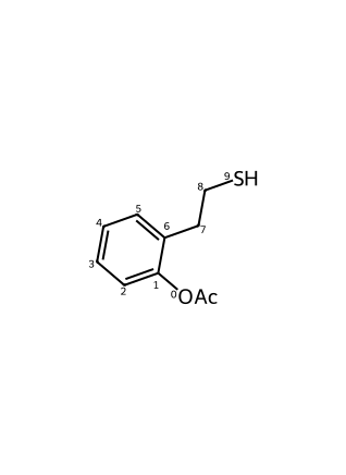 CC(=O)Oc1ccccc1CCS